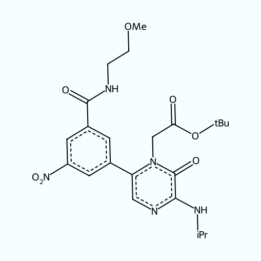 COCCNC(=O)c1cc(-c2cnc(NC(C)C)c(=O)n2CC(=O)OC(C)(C)C)cc([N+](=O)[O-])c1